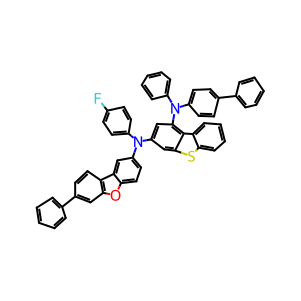 Fc1ccc(N(c2cc(N(c3ccccc3)c3ccc(-c4ccccc4)cc3)c3c(c2)sc2ccccc23)c2ccc3oc4cc(-c5ccccc5)ccc4c3c2)cc1